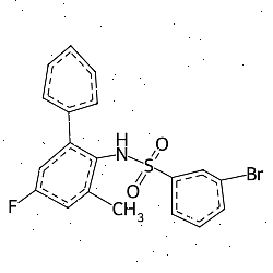 Cc1cc(F)cc(-c2ccccc2)c1NS(=O)(=O)c1cccc(Br)c1